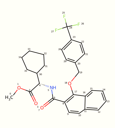 COC(=O)[C@@H](NC(=O)c1ccc2ccccc2c1OCc1ccc(C(F)(F)F)cc1)C1CCCCC1